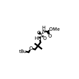 COC(=O)NS(=O)(=O)NCC(C)(C)COCC(C)(C)C